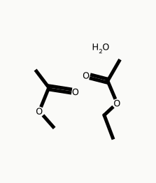 CCOC(C)=O.COC(C)=O.O